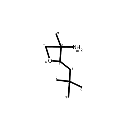 CC(C)(C)CC1OCC1(C)N